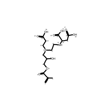 C=C(C)C(=O)OCC(O)CN(CCNC(CC(=O)O)C(=O)O)CCC(=O)O